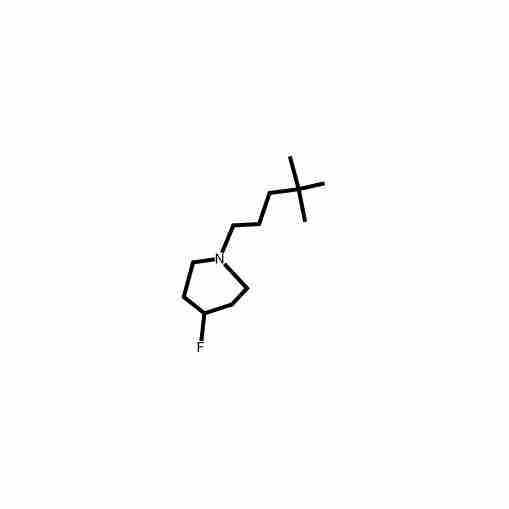 CC(C)(C)CCCN1CCC(F)CC1